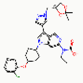 CCN(C(=O)O)c1cc2c(cn1)c(-c1cnn(C[C@@H]3COC(C)(C)O3)c1)cn2C1CCC(Oc2ccccc2F)CC1